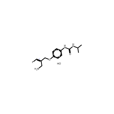 CC(C)NC(=O)Nc1ccc(OC/C(=C/F)CN)cc1.Cl